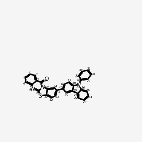 O=c1c2ccccc2nc2sc3ccc(-c4ccc5c(c4)c4ccccc4n5-c4ccccc4)cc3n12